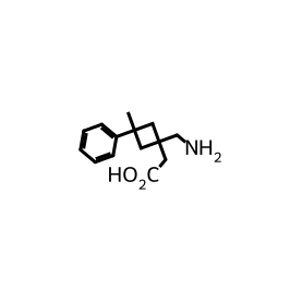 CC1(c2ccccc2)CC(CN)(CC(=O)O)C1